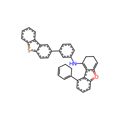 C1=CCCC(c2cccc3oc4c(c23)=C(Nc2cccc(-c3ccc5sc6ccccc6c5c3)c2)CCC=4)=C1